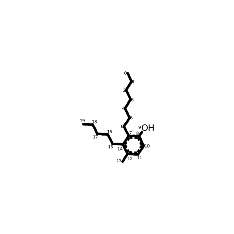 CCCCCCCc1c(O)ccc(C)c1CCCCC